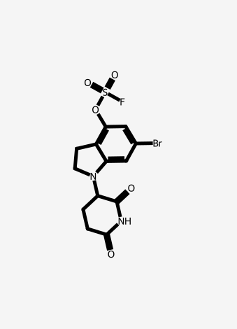 O=C1CCC(N2CCc3c(OS(=O)(=O)F)cc(Br)cc32)C(=O)N1